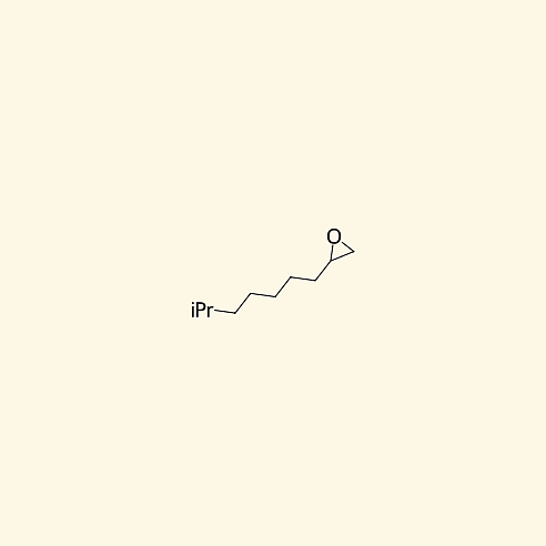 CC(C)CCCCCC1CO1